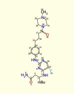 CCCCC(CC(N)=O)Nc1nc(Nc2ccc(CCCC(=O)N3CCN(C)CC3)cc2)ncc1F